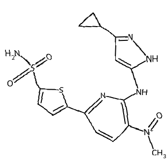 C[N+](=O)c1ccc(-c2ccc(S(N)(=O)=O)s2)nc1Nc1cc(C2CC2)n[nH]1